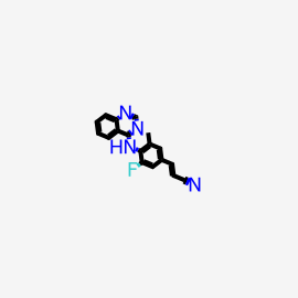 Cc1cc(C=CC#N)cc(F)c1Nc1ncnc2ccccc12